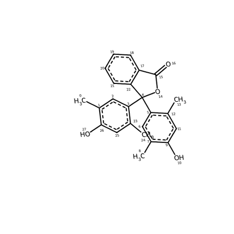 Cc1cc(C2(c3cc(C)c(O)cc3C)OC(=O)c3ccccc32)c(C)cc1O